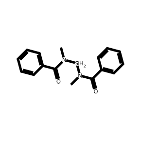 CN([SiH2]N(C)C(=O)c1ccccc1)C(=O)c1ccccc1